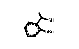 CCCCc1ccccc1C(C)S